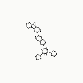 c1ccc(-c2nc(-c3ccccc3)nc(-c3ccc4cc(-c5cc6c(cn5)oc5ccccc56)ncc4c3)n2)cc1